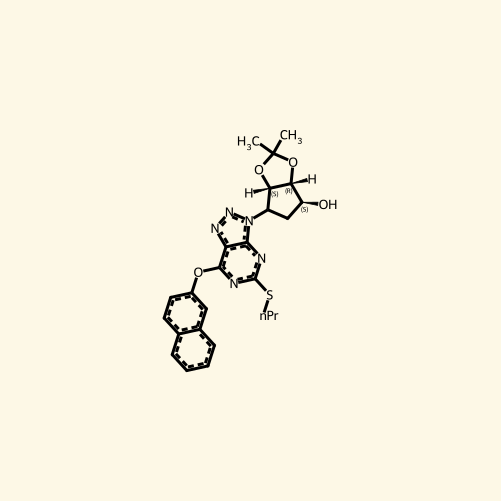 CCCSc1nc(Oc2ccc3ccccc3c2)c2nnn(C3C[C@H](O)[C@H]4OC(C)(C)O[C@@H]34)c2n1